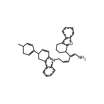 CC1C=CC(C2C=Cc3c(c4ccccc4n3C/C=C\C(=C/N)C3CCCc4c3oc3ccccc43)C2)=CC1